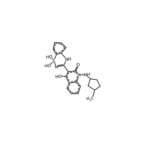 CC1CCC(Nn2c(=O)c(C3=NS(O)(O)c4ccccc4N3)c(O)c3ccccc32)C1